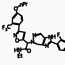 CCCOc1ccc(-c2cc(C(C(=O)NCC)N3Cc4nc(-c5ccccc5F)[nH]c4C=N3)on2)c(C(F)(F)F)c1